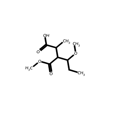 CCC(OC)C(C(=O)OC)C(C)C(=O)O